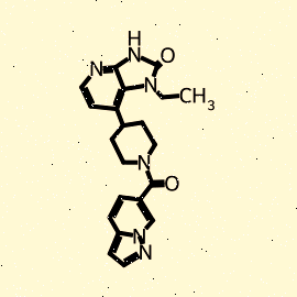 CCn1c(=O)[nH]c2nccc(C3CCN(C(=O)c4ccc5ccnn5c4)CC3)c21